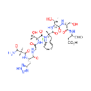 C[C@@H](O)[C@H](NC(=O)CNC(=O)[C@H](Cc1nn[nH]n1)NC(=O)C(C)(C)C(N)=O)C(=O)N[C@@](C)(Cc1ccccc1F)C(=O)N[C@H](C(=O)N[C@@H](CO)C(=O)NC(C=O)CC(=O)O)[C@@H](C)O